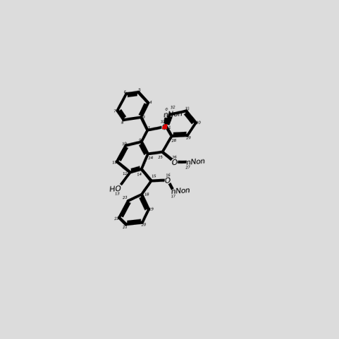 CCCCCCCCCOC(c1ccccc1)c1ccc(O)c(C(OCCCCCCCCC)c2ccccc2)c1C(OCCCCCCCCC)c1ccccc1